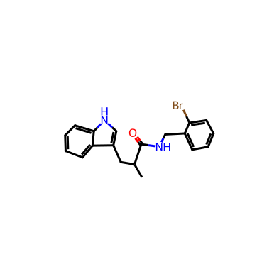 CC(Cc1c[nH]c2ccccc12)C(=O)NCc1ccccc1Br